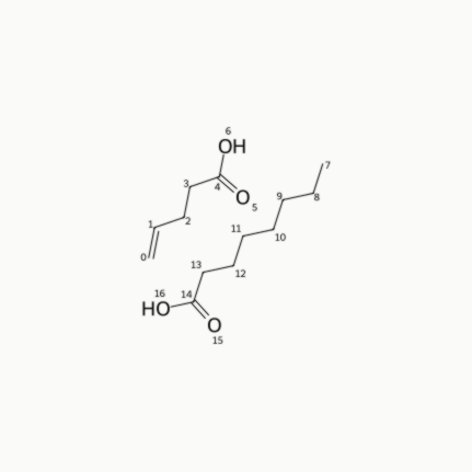 C=CCCC(=O)O.CCCCCCCC(=O)O